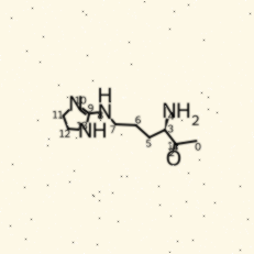 CC(=O)[C@H](N)CCCNC1=NCCN1